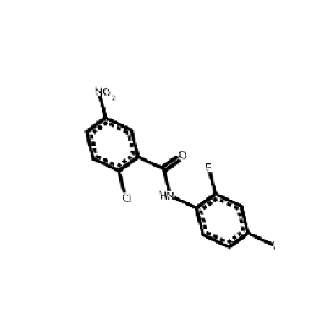 O=C(Nc1ccc(I)cc1F)c1cc([N+](=O)[O-])ccc1Cl